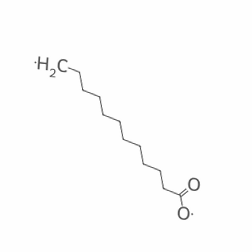 [CH2]CCCCCCCCCCC([O])=O